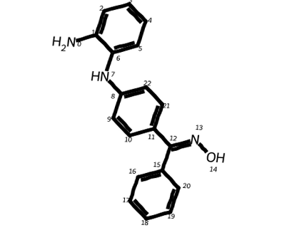 Nc1ccccc1Nc1ccc(C(=NO)c2ccccc2)cc1